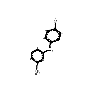 [CH2]Cc1ccc(Oc2cccc(C(F)(F)F)n2)cc1